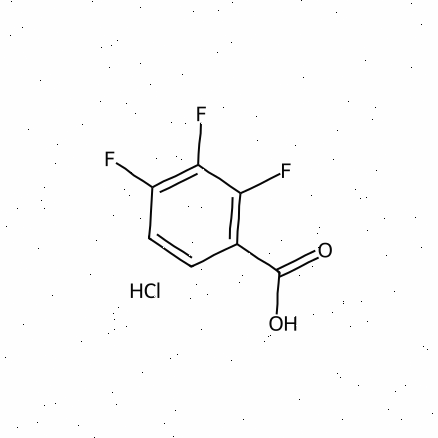 Cl.O=C(O)c1ccc(F)c(F)c1F